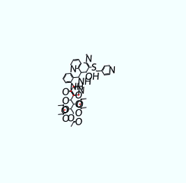 C=N/C(C)=C(\SCc1ccncc1)C(O)C(c1ccccn1)C(Nc1ccccn1)c1ccccc1NC(=O)C(OC(C)=O)C(OC(C)=O)C(OC(C)=O)C(COC(C)=O)OC(C)=O